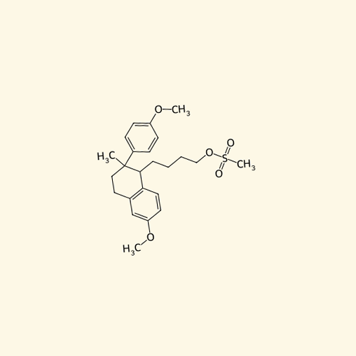 COc1ccc(C2(C)CCc3cc(OC)ccc3C2CCCCOS(C)(=O)=O)cc1